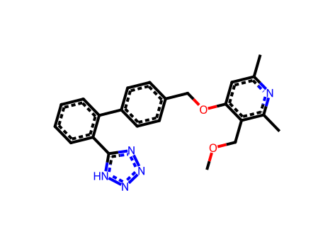 COCc1c(OCc2ccc(-c3ccccc3-c3nnn[nH]3)cc2)cc(C)nc1C